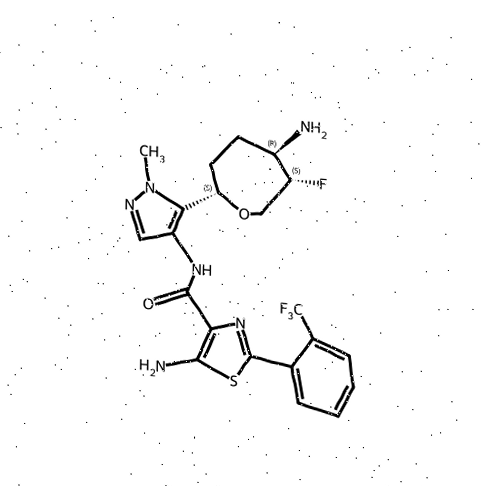 Cn1ncc(NC(=O)c2nc(-c3ccccc3C(F)(F)F)sc2N)c1[C@@H]1CC[C@@H](N)[C@H](F)CO1